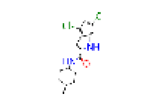 C[C@H]1CC[C@@H](NC(=O)c2cc3c(Cl)cc(Cl)cc3[nH]2)CC1